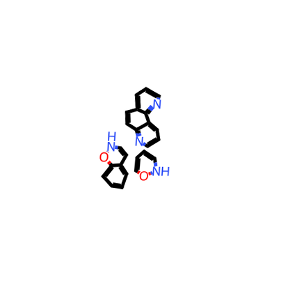 C1=CNOC=C1.C1=Cc2ccccc2ON1.c1cnc2c(c1)ccc1ncccc12